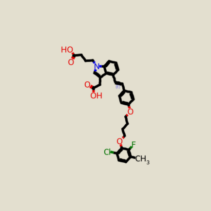 Cc1ccc(Cl)c(OCCCCOc2ccc(/C=C/c3cccc4c3c(CC(=O)O)cn4CCCC(=O)O)cc2)c1F